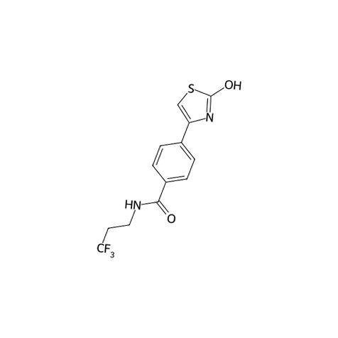 O=C(NCCC(F)(F)F)c1ccc(-c2csc(O)n2)cc1